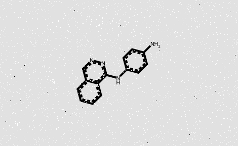 Nc1ccc(Nc2nncc3ccccc23)cc1